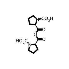 O=C(OC(=O)[C@H]1CCCN1C(=O)O)[C@H]1CCCN1C(=O)O